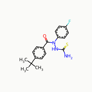 CC(C)(C)c1ccc(C(=O)N(NC(N)=S)c2ccc(F)cc2)cc1